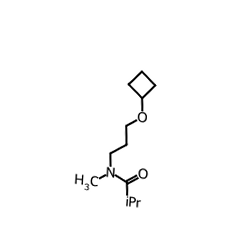 CC(C)C(=O)N(C)CCCOC1CCC1